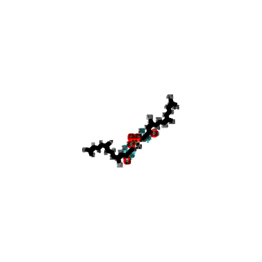 CC(C)=CCCC(C)=CCCC(C)=CC(=O)C(F)(F)COP(C)(=O)OCC(F)(F)C(=O)C=C(C)CCC=C(C)CCC=C(C)C